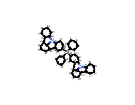 c1ccc([Si](c2ccccc2)(c2ccc3c(c2)c2cccc4c5ccccc5n3c42)c2ccc3c(c2)c2cccc4c5ccccc5n3c42)cc1